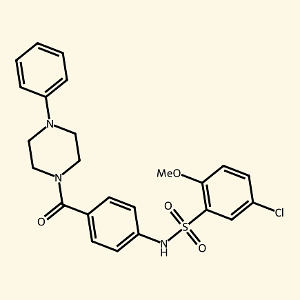 COc1ccc(Cl)cc1S(=O)(=O)Nc1ccc(C(=O)N2CCN(c3ccccc3)CC2)cc1